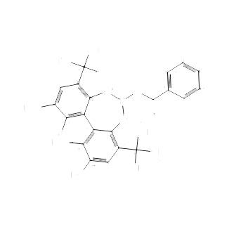 Cc1cc(C(C)(C)C)c2op(O[C@@H](C)c3ccccc3)oc3c(C(C)(C)C)cc(C)c(C)c3c2c1C